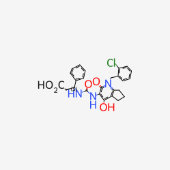 O=C(O)C[C@H](NC(=O)Nc1c(O)c2c(n(Cc3ccccc3Cl)c1=O)CCC2)c1ccccc1